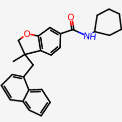 CC1(Cc2cccc3ccccc23)COc2cc(C(=O)NC3CCCCC3)ccc21